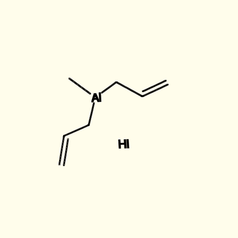 C=C[CH2][Al]([CH3])[CH2]C=C.I